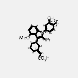 COc1cccc2c1c(C1CCCC(=CC(=O)O)C1)c(C(C)C)n2-c1ccc(F)c(C)c1